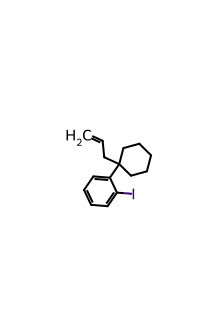 C=CCC1(c2ccccc2I)CCCCC1